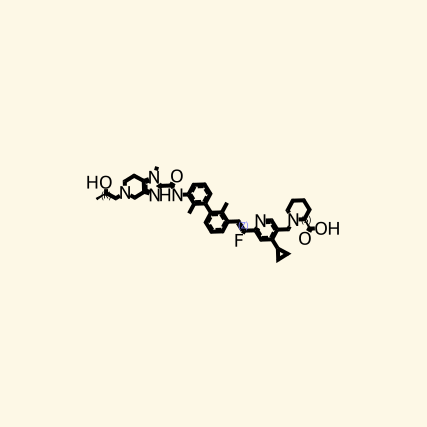 Cc1c(/C=C(\F)c2cc(C3CC3)c(CN3CCCC[C@H]3C(=O)O)cn2)cccc1-c1cccc(NC(=O)c2nc3c(n2C)CCN(C[C@@H](C)O)C3)c1C